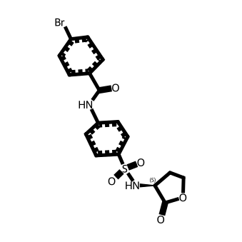 O=C(Nc1ccc(S(=O)(=O)N[C@H]2CCOC2=O)cc1)c1ccc(Br)cc1